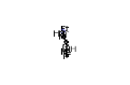 C=C/C(=C\CC)Nc1ncc(-c2ccc(CC(=O)Nc3cncc(C(C)(F)F)c3)cc2)cn1